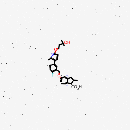 C=C(/C=C1/CC(C)C(C(=O)O)/C1=C/C)OCc1cc(-c2ccc(OCCC(C)(C)O)nc2C)ccc1F